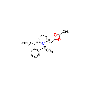 CCOC(=O)C[C@@H]1CCC[C@H](CC2OC(C)O2)N1[C@H](C)c1ccccc1